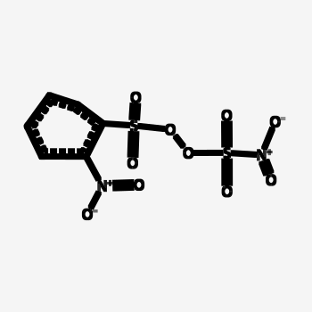 O=[N+]([O-])c1ccccc1S(=O)(=O)OOS(=O)(=O)[N+](=O)[O-]